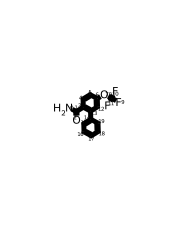 NC(=O)c1ccc(OC(F)(F)F)cc1-c1ccccc1